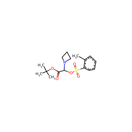 Cc1ccccc1S(=O)(=O)OC(C(=O)OC(C)(C)C)N1CCC1